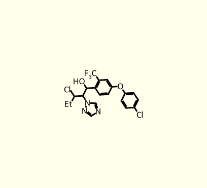 CCC(Cl)C(C(O)c1ccc(Oc2ccc(Cl)cc2)cc1C(F)(F)F)n1cncn1